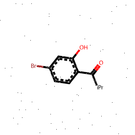 CC(C)C(=O)c1ccc(Br)cc1O